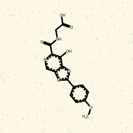 COc1ccc(-c2nc3cnc(C(=O)NCC(=O)O)c(O)c3s2)cc1